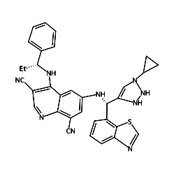 CC[C@@H](Nc1c(C#N)cnc2c(C#N)cc(N[C@H](C3=CN(C4CC4)NN3)c3cccc4ncsc34)cc12)c1ccccc1